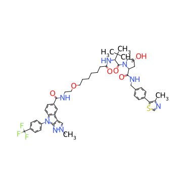 Cc1ncsc1-c1ccc(CNC(=O)C2C[C@@H](O)CN2C(=O)[C@@H](NC(=O)CCCCCCOCCNC(=O)c2ccc3c(c2)c2cn(C)nc2n3-c2ccc(C(F)(F)F)cc2)C(C)(C)C)cc1